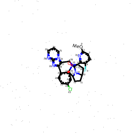 COc1ccc(F)c(C(=O)N2C3CCC2CN(Cc2c(-c4ccc(Cl)cc4)nc4ncccn24)CC3)n1